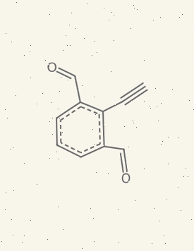 C#Cc1c(C=O)cccc1C=O